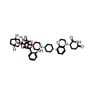 Nc1nnc(-c2ccccc2O)cc1N1C[C@H]2CC[C@@H](C1)N2c1ncc(C2CCN([C@H]3CC[C@@H](c4cccc5c4OCCN5[C@H]4CCC(=O)NC4=O)CC3)CC2)cn1